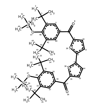 CC(C)(C)c1cc(C(=O)c2ccc(-c3ccc(C(=O)c4cc(C(C)(C)C)c(O[Si](C)(C)C)c(C(C)(C)C)c4)s3)s2)cc(C(C)(C)C)c1O[Si](C)(C)C